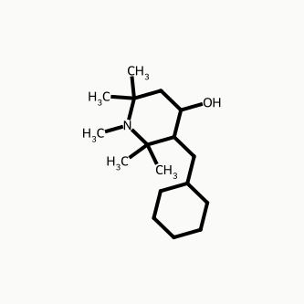 CN1C(C)(C)CC(O)C(CC2CCCCC2)C1(C)C